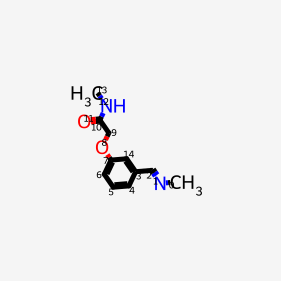 CN=Cc1cccc(OCC(=O)NC)c1